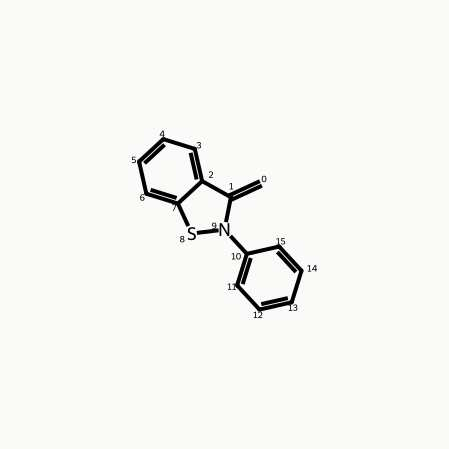 C=C1c2ccccc2SN1c1ccccc1